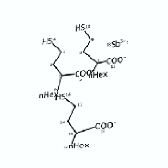 CCCCCCC(CCS)C(=O)[O-].CCCCCCC(CCS)C(=O)[O-].CCCCCCC(CCS)C(=O)[O-].[Sb+3]